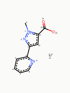 Cn1nc(-c2ccccn2)cc1C(=O)[O-].[Li+]